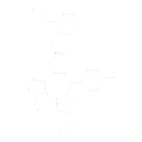 CCc1cc2c(s1)-n1c(C)nnc1C(CC(=O)Nc1ccccc1OC)N=C2c1ccc(Cl)cc1